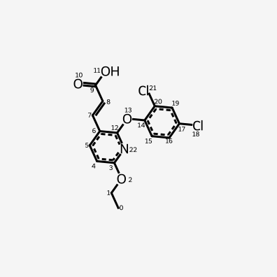 CCOc1ccc(/C=C/C(=O)O)c(Oc2ccc(Cl)cc2Cl)n1